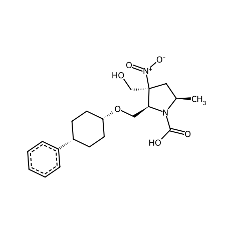 C[C@@H]1C[C@](CO)([N+](=O)[O-])[C@H](CO[C@H]2CC[C@@H](c3ccccc3)CC2)N1C(=O)O